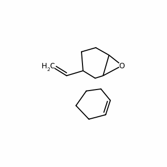 C1=CCCCC1.C=CC1CCC2OC2C1